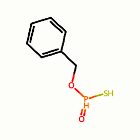 O=[PH](S)OCc1ccccc1